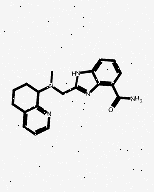 CN(Cc1nc2c(C(N)=O)cccc2[nH]1)C1CCCc2cccnc21